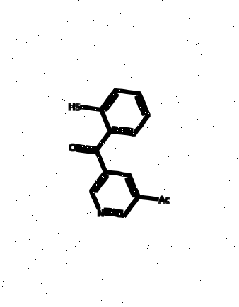 CC(=O)c1cncc(C(=O)c2ccccc2S)c1